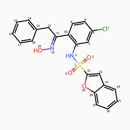 O=S(=O)(Nc1cc(Cl)ccc1C(Cc1ccccc1)=NO)c1cc2ccccc2o1